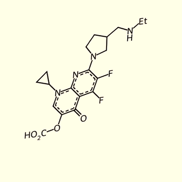 CCNCC1CCN(c2nc3c(c(F)c2F)c(=O)c(OC(=O)O)cn3C2CC2)C1